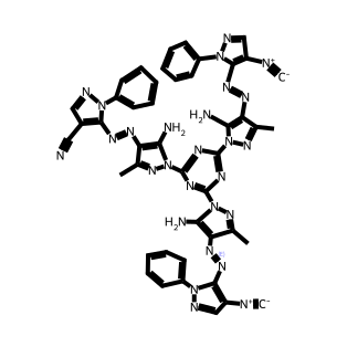 [C-]#[N+]c1cnn(-c2ccccc2)c1N=Nc1c(C)nn(-c2nc(-n3nc(C)c(N=Nc4c(C#N)cnn4-c4ccccc4)c3N)nc(-n3nc(C)c(/N=N/c4c([N+]#[C-])cnn4-c4ccccc4)c3N)n2)c1N